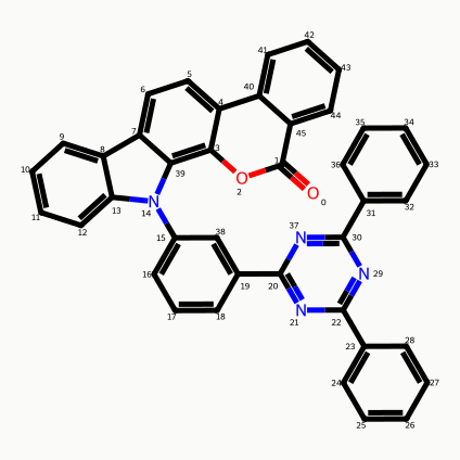 O=c1oc2c(ccc3c4ccccc4n(-c4cccc(-c5nc(-c6ccccc6)nc(-c6ccccc6)n5)c4)c32)c2ccccc12